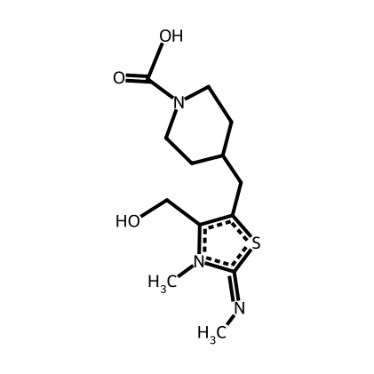 CN=c1sc(CC2CCN(C(=O)O)CC2)c(CO)n1C